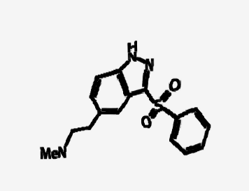 CNCCc1ccc2[nH]nc(S(=O)(=O)c3ccccc3)c2c1